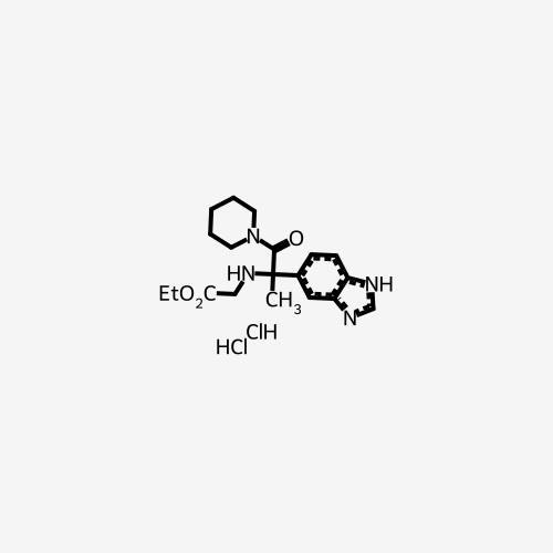 CCOC(=O)CNC(C)(C(=O)N1CCCCC1)c1ccc2[nH]cnc2c1.Cl.Cl